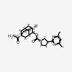 Cc1cc(C)nc(C2CCN(C(=O)OC3C4CC5C[C@@H]3C[C@@](C(N)=O)(C5)C4)C2)n1